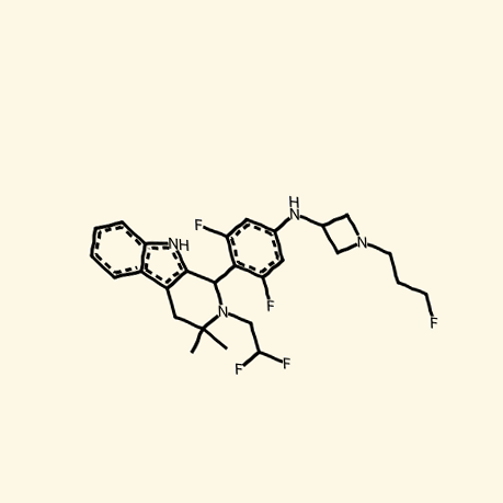 CC1(C)Cc2c([nH]c3ccccc23)C(c2c(F)cc(NC3CN(CCCF)C3)cc2F)N1CC(F)F